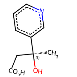 C[C@](O)(CC(=O)O)c1cccnc1